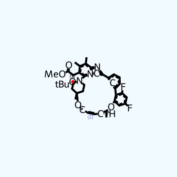 COC(=O)[C@@H](OC(C)(C)C)c1c(C)c(C)c2nc3cn2c1N1CCC(C)(CC1)OC/C=C\C[C@H](C)Oc1cc(F)cc(F)c1-c1cccc-3c1